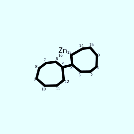 C1CCCC(C2CCCCCCC2)CCC1.[Zn]